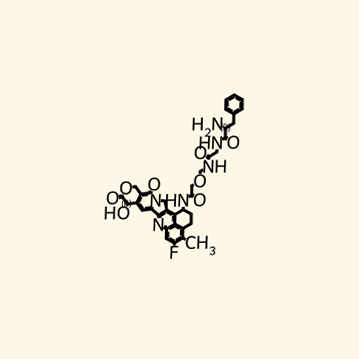 Cc1c(F)cc2nc3c(c4c2c1CCC4NC(=O)COCNC(=O)CNC(=O)[C@H](N)Cc1ccccc1)Cn1c-3cc2c(c1=O)COC(=O)[C@@H]2O